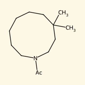 CC(=O)N1CCCCCCC(C)(C)CC1